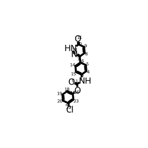 O=C(Nc1ccc(-c2ccc(=O)[nH]n2)cc1)Oc1cccc(Cl)c1